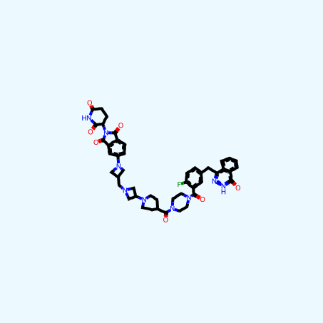 O=C1CCC(N2C(=O)c3ccc(N4CC(CN5CC(N6CCC(C(=O)N7CCN(C(=O)c8cc(Cc9n[nH]c(=O)c%10ccccc9%10)ccc8F)CC7)CC6)C5)C4)cc3C2=O)C(=O)N1